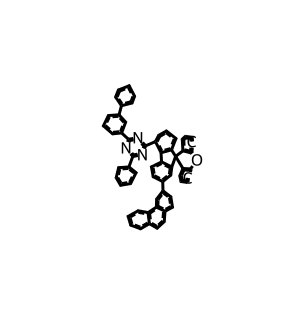 c1ccc(-c2cccc(-c3nc(-c4ccccc4)nc(-c4cccc5c4-c4ccc(-c6ccc7ccc8ccccc8c7c6)cc4C54c5ccccc5Oc5ccccc54)n3)c2)cc1